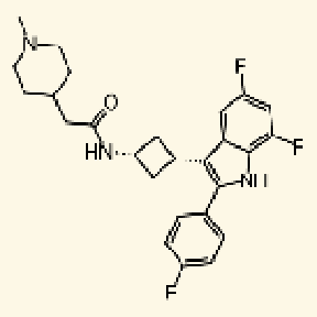 CN1CCC(CC(=O)N[C@H]2C[C@@H](c3c(-c4ccc(F)cc4)[nH]c4c(F)cc(F)cc43)C2)CC1